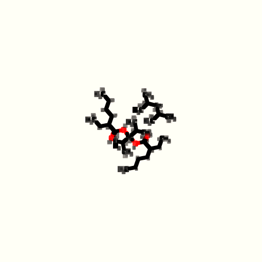 CCCCC(CC)C(=O)[O][Sn]([O]C(=O)C(CC)CCCC)([CH](C)C)[CH](C)C.C[CH](C)[Sn][CH](C)C